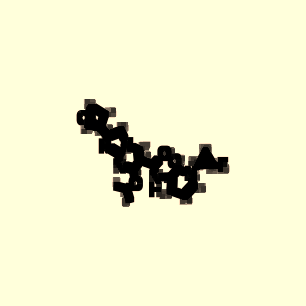 CC(C)Oc1nc2nc(C34COC(C3)C4)cn2cc1C(=O)Nc1cccn([C@@H]2C[C@@H]2F)c1=O